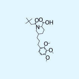 COc1ccc(CCCC2CCC(C(=O)O)N(C(=O)CC(C)(C)C)C2)c(OC)c1OC